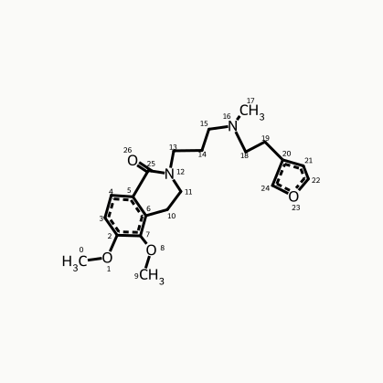 COc1ccc2c(c1OC)CCN(CCCN(C)CCc1ccoc1)C2=O